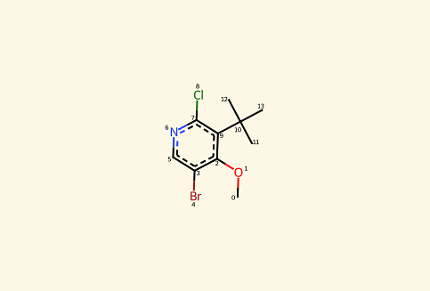 COc1c(Br)cnc(Cl)c1C(C)(C)C